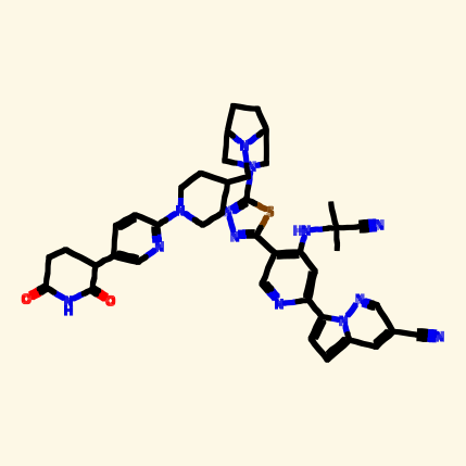 CC(C)(C#N)Nc1cc(-c2ccc3cc(C#N)cnn23)ncc1-c1nnc(N2CC3CCC(C2)N3CC2CCN(c3ccc(C4CCC(=O)NC4=O)cn3)CC2)s1